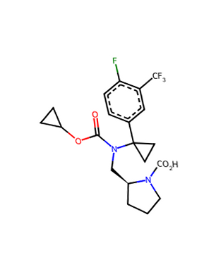 O=C(O)N1CCC[C@H]1CN(C(=O)OC1CC1)C1(c2ccc(F)c(C(F)(F)F)c2)CC1